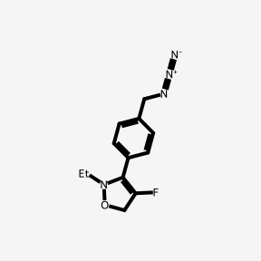 CCN1OCC(F)=C1c1ccc(CN=[N+]=[N-])cc1